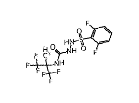 CC(NC(=O)NNS(=O)(=O)c1c(F)cccc1F)(C(F)(F)F)C(F)(F)F